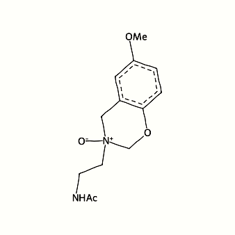 COc1ccc2c(c1)C[N+]([O-])(CCNC(C)=O)CO2